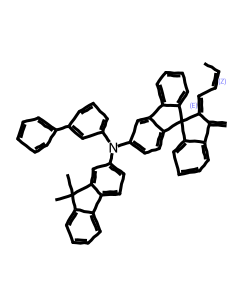 C=C1/C(=C\C=C/C)C2(c3ccccc31)c1ccccc1-c1cc(N(c3cccc(-c4ccccc4)c3)c3ccc4c(c3)C(C)(C)c3ccccc3-4)ccc12